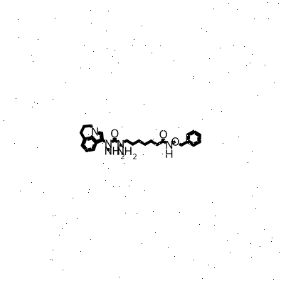 NN(CCCCCCC(=O)NOCc1ccccc1)C(=O)N(N)c1cn2c3c(cccc13)CCC2